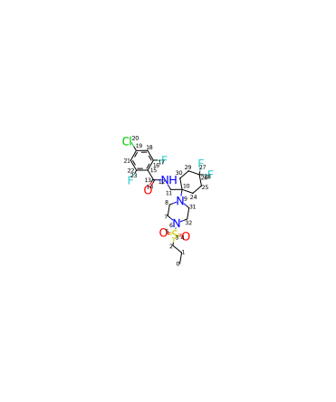 CCCS(=O)(=O)N1CCN(C2(CNC(=O)c3c(F)cc(Cl)cc3F)CCC(F)(F)CC2)CC1